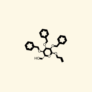 C=CCO[C@H]1O[C@H](CO)[C@@H](OCc2ccccc2)[C@H](OCc2ccccc2)[C@H]1OCc1ccccc1